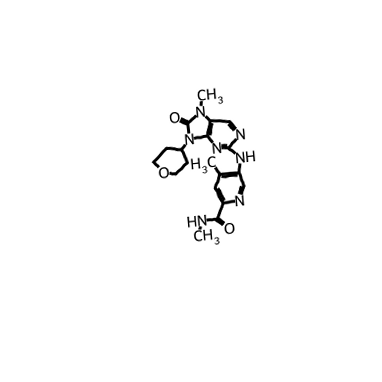 CNC(=O)c1cc(C)c(Nc2ncc3c(n2)n(C2CCOCC2)c(=O)n3C)cn1